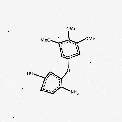 COc1cc(Oc2cc(O)ccc2N)cc(OC)c1OC